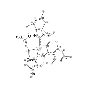 C=C1/C=C(/C(C)(C)C)ON(c2c(C)cc(C)cc2C)c2cc(C)cc3c2B1c1c(ccc2c(C(C)(C)C)coc12)N3c1c(C)cc(C)cc1C